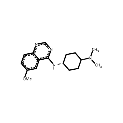 COc1ccc2ncnc(N[C@H]3CC[C@H](N(C)C)CC3)c2c1